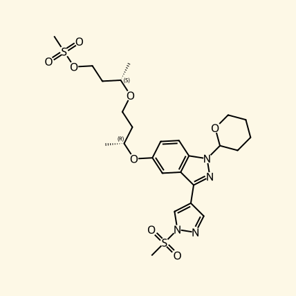 C[C@H](CCO[C@@H](C)CCOS(C)(=O)=O)Oc1ccc2c(c1)c(-c1cnn(S(C)(=O)=O)c1)nn2C1CCCCO1